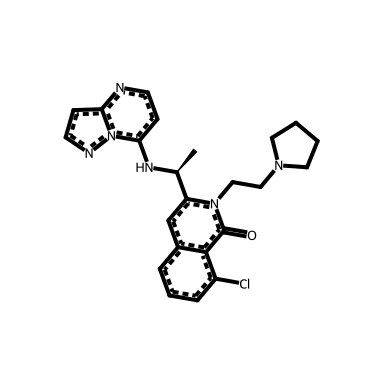 C[C@H](Nc1ccnc2ccnn12)c1cc2cccc(Cl)c2c(=O)n1CCN1CCCC1